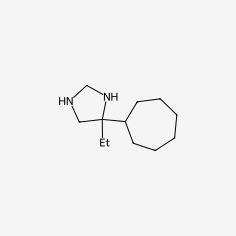 CCC1(C2CCCCCC2)CNCN1